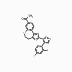 NC(=O)c1ccc2c(c1)OCCc1sc(-n3nncc3-c3ccc(F)cc3F)nc1-2